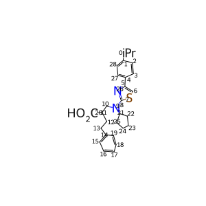 CC(C)c1ccc(-c2csc(N(CC(CCc3ccccc3)C(=O)O)C3CCCC3)n2)cc1